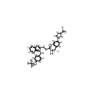 C[C@H](NC(=O)CCc1nc2cccnc2n1Cc1ccc(OC(F)(F)F)cc1)c1ccc(N2CC[C@@H](N(C)C)C2)cc1